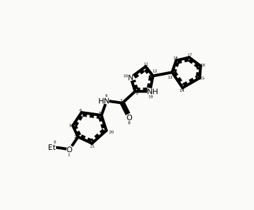 CCOc1ccc(NC(=O)c2ncc(-c3ccccc3)[nH]2)cc1